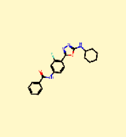 O=C(Nc1ccc(-c2nnc(NC3CCCCC3)o2)c(F)c1)c1ccccc1